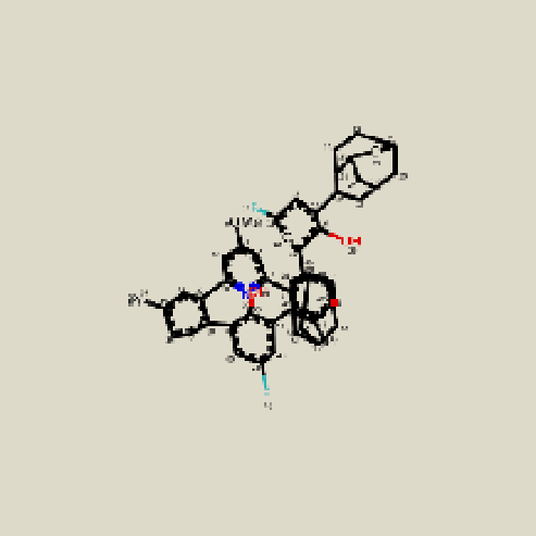 COc1cc(-c2cc(C(C)C)ccc2-c2cc(F)cc(C3CC4CC5CCC3C(C5)C4)c2O)nc(-c2cc(C(C)C)ccc2-c2cc(F)cc(C34CC5CC(CC(C5)C3)C4)c2O)c1